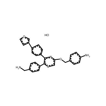 Cl.NCc1ccc(-c2ncc(OCc3ccc(N)cc3)nc2-c2ccc(-c3ccoc3)cc2)cc1